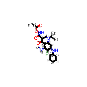 CCCC(=O)ONC(=O)c1cn(C(CC)CC)c2cc(NC3CCCCC3)c(F)c(N(C)C)c2c1=O